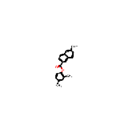 CC(=O)Oc1ccc2cc(C(=O)Oc3ccc(C)cc3C)ccc2c1